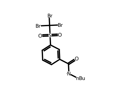 CCCC[N]C(=O)c1cccc(S(=O)(=O)C(Br)(Br)Br)c1